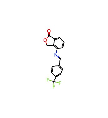 O=C1OCc2c(N=Cc3ccc(C(F)(F)F)cc3)cccc21